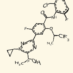 CC(Oc1cc(-c2nc([C@H](C)O)n(C3CC3)n2)c(F)cc1C(=O)Nc1c(F)cccc1Cl)C(F)(F)F